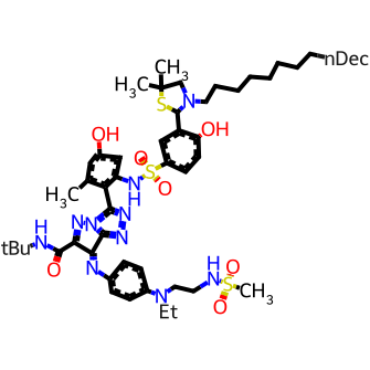 CCCCCCCCCCCCCCCCCCN1CC(C)(C)SC1c1cc(S(=O)(=O)Nc2cc(O)cc(C)c2-c2nnc3n2N=C(C(=O)NC(C)(C)C)/C3=N/c2ccc(N(CC)CCNS(C)(=O)=O)cc2)ccc1O